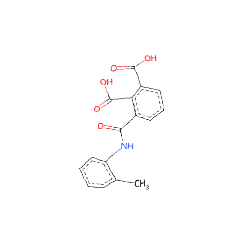 Cc1ccccc1NC(=O)c1cccc(C(=O)O)c1C(=O)O